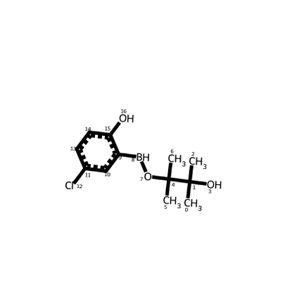 CC(C)(O)C(C)(C)OBc1cc(Cl)ccc1O